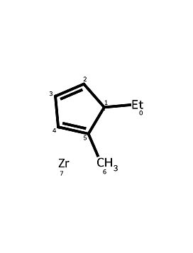 CC[C]1C=CC=C1C.[Zr]